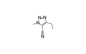 CCc1nnn(C)c1C#N